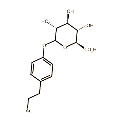 CC(=O)CCc1ccc(OC2O[C@H](C(=O)O)[C@@H](O)[C@H](O)[C@H]2O)cc1